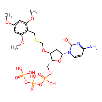 COc1cc(OC)c(CSCOC2C[C@H](N3C=CC(N)=NC3O)O[C@@H]2COP(=O)(O)OP(=O)(O)OP(=O)(O)O)c(OC)c1